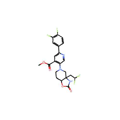 COC(=O)c1cc(-c2ccc(F)c(F)c2)ncc1N1CCC2OC(=O)NC2(CC(F)F)C1